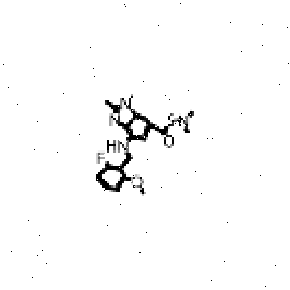 COc1cccc(F)c1CNc1cc(C(=O)SN(C)C)cc2c1nc(C)n2C